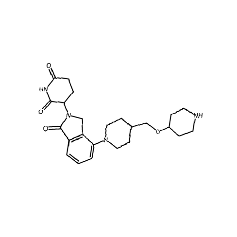 O=C1CCC(N2Cc3c(cccc3N3CCC(COC4CCNCC4)CC3)C2=O)C(=O)N1